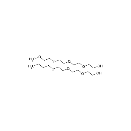 CCCCOCCOCCOCCO.COCCOCCOCCOCCO